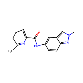 Cn1cc2cc(NC(=O)C3=CCCC(C(F)(F)F)=N3)ccc2n1